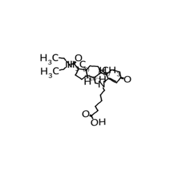 CCN(CC)C(=O)C1CC[C@H]2[C@@H]3CN(CCCCCC(=O)O)C4=CC(=O)CC[C@]4(C)[C@@H]3CC[C@]12C